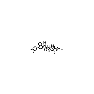 Cc1ccc(-c2ccc(NC(=O)/N=S(\N)c3ncc(C(C)(C)O)s3)c3c2CCC3)cc1C